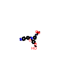 COC(=O)/C=C/c1cccc(N(Cc2ccc(-c3ccc(N(C)C)cc3)cc2)C(=O)C2CCC(OCCO)CC2)c1